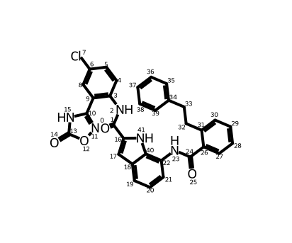 O=C(Nc1ccc(Cl)cc1-c1noc(=O)[nH]1)c1cc2cccc(NC(=O)c3ccccc3CCc3ccccc3)c2[nH]1